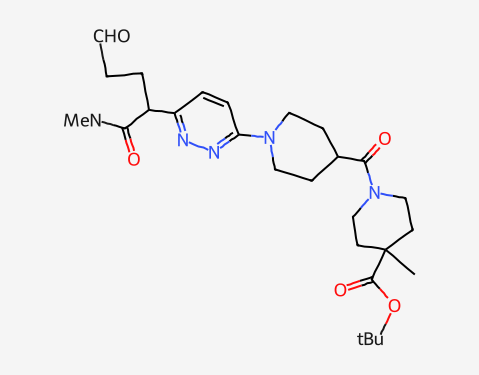 CNC(=O)C(CCC=O)c1ccc(N2CCC(C(=O)N3CCC(C)(C(=O)OC(C)(C)C)CC3)CC2)nn1